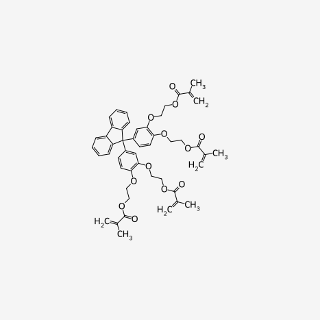 C=C(C)C(=O)OCCOc1ccc(C2(c3ccc(OCCOC(=O)C(=C)C)c(OCCOC(=O)C(=C)C)c3)c3ccccc3-c3ccccc32)cc1OCCOC(=O)C(=C)C